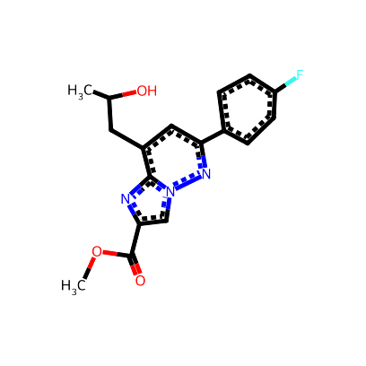 COC(=O)c1cn2nc(-c3ccc(F)cc3)cc(CC(C)O)c2n1